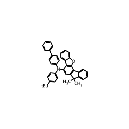 CC(C)(C)c1ccc(N(c2ccc(-c3ccccc3)cc2)c2cc3c(c4oc5ccccc5c24)-c2ccccc2C3(C)C)cc1